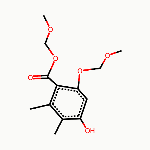 COCOC(=O)c1c(OCOC)cc(O)c(C)c1C